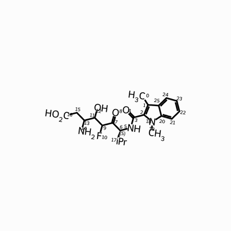 Cc1c(C(=O)N[C@H](C(=O)C(F)C(O)C(N)CC(=O)O)C(C)C)n(C)c2ccccc12